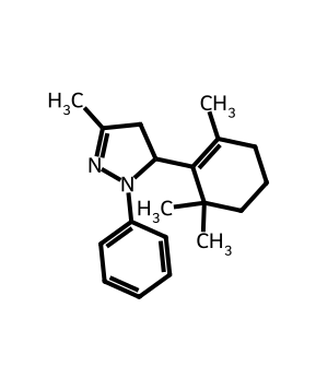 CC1=NN(c2ccccc2)C(C2=C(C)CCCC2(C)C)C1